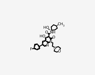 C[C@H]1CC[C@@](CO)(NC(=O)c2c(O)c3cc(-c4ccc(F)cc4)cnc3n(CCN3CCOCC3)c2=O)CC1